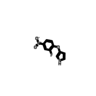 O=[N+]([O-])c1ccc(Oc2cc[nH]c2)c(F)c1